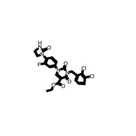 CCOC(=O)c1cn(-c2ccc(N3CCNC3=O)c(F)c2)c(=O)n(Cc2cccc(Cl)c2Cl)c1=O